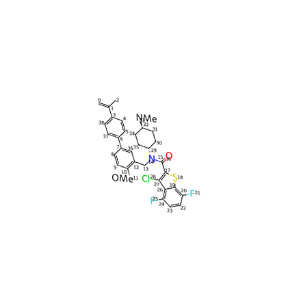 C=C(C)c1ccc(-c2ccc(OC)c(CN(C(=O)c3sc4c(F)ccc(F)c4c3Cl)[C@H]3CC[C@H](NC)CC3)c2)cc1